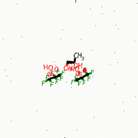 CC(O)CO.O=S(=O)(O)C(F)(C(F)(F)F)C(F)(F)F.O=S(=O)(O)C(F)(C(F)(F)F)C(F)(F)F